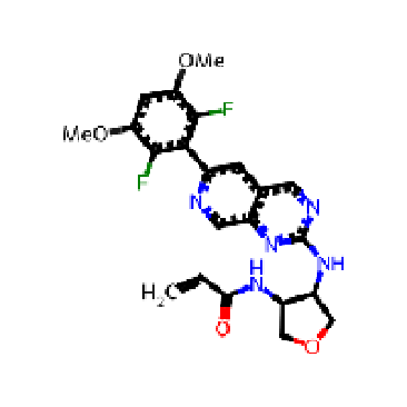 C=CC(=O)NC1COCC1Nc1ncc2cc(-c3c(F)c(OC)cc(OC)c3F)ncc2n1